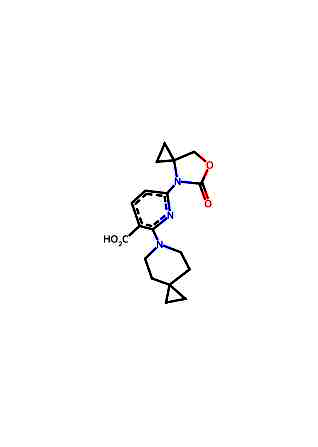 O=C(O)c1ccc(N2C(=O)OCC23CC3)nc1N1CCC2(CC1)CC2